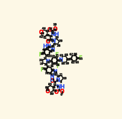 COC(=O)N[C@H](C(=O)N1CCC[C@H]1c1nc2cc([C@H]3CC[C@H](c4cc5nc([C@@H]6CCCN6C(=O)[C@@H](NC(=O)OC)C6CCOCC6)[nH]c5cc4F)N3c3cc(F)c(N4CCC(c5ccc(F)cc5)CC4)c(F)c3)c(F)cc2[nH]1)C1CCOCC1